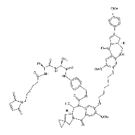 COc1ccc(C2=CN3C(=O)c4cc(OC)c(OCCCCCOc5cc6c(cc5OC)C(=O)N5CC7(CC7)C[C@H]5C(O)N6C(=O)OCc5ccc(NC(=O)[C@H](C)NC(=O)[C@@H](NC(=O)CCCCCN6C(=O)C=CC6=O)C(C)C)cc5)cc4NC[C@@H]3C2)cc1